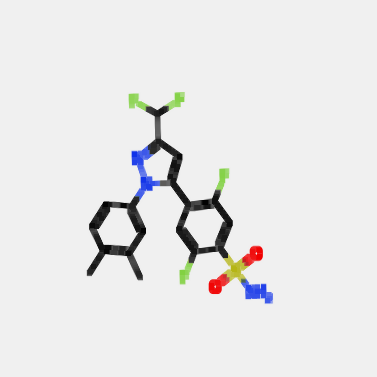 Cc1ccc(-n2nc(C(F)F)cc2-c2cc(F)c(S(N)(=O)=O)cc2F)cc1C